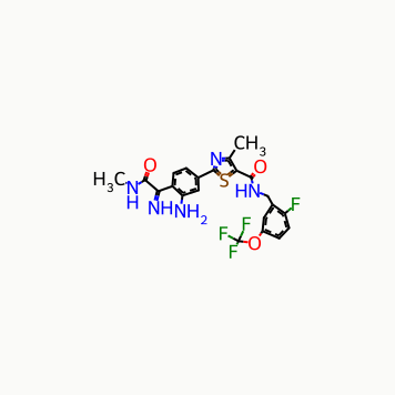 CNC(=O)C(=N)c1ccc(-c2nc(C)c(C(=O)NCc3cc(OC(F)(F)F)ccc3F)s2)cc1N